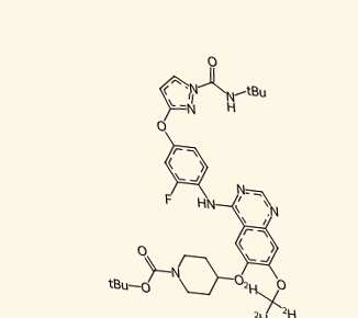 [2H]C([2H])([2H])Oc1cc2ncnc(Nc3ccc(Oc4ccn(C(=O)NC(C)(C)C)n4)cc3F)c2cc1OC1CCN(C(=O)OC(C)(C)C)CC1